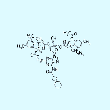 C#C[C@]1(COC(=O)CC(C)(C)c2c(C)cc(C)cc2OC(C)=O)O[C@@H](n2cnc3c(NC(=O)C4CC5(CCCCC5)C4)nc(F)nc32)C[C@@H]1OC(=O)CC(C)(C)c1c(C)cc(C)cc1OC(C)=O